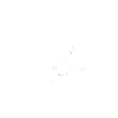 CC(C)([C@H]1CNCCO1)N1C2CCC1CN(c1cc(-c3ccccc3O)nnc1N)C2